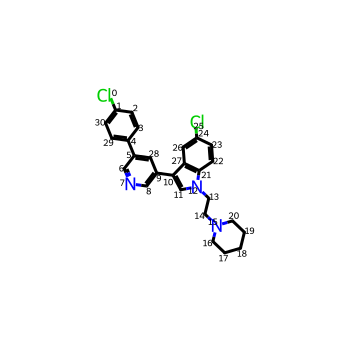 Clc1ccc(-c2cncc(-c3cn(CCN4CCCCC4)c4ccc(Cl)cc34)c2)cc1